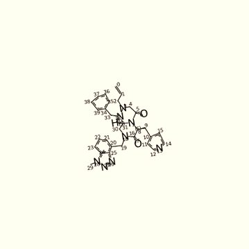 C=CCN1CC(=O)N2[C@@H](Cc3ccncc3)C(=O)N(Cc3cccc4c3nnn4C)C[C@@H]2N1Cc1ccccc1